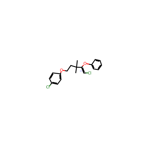 CC(C)(CCOc1ccc(Cl)cc1)/C(=C/Cl)Oc1ccccc1